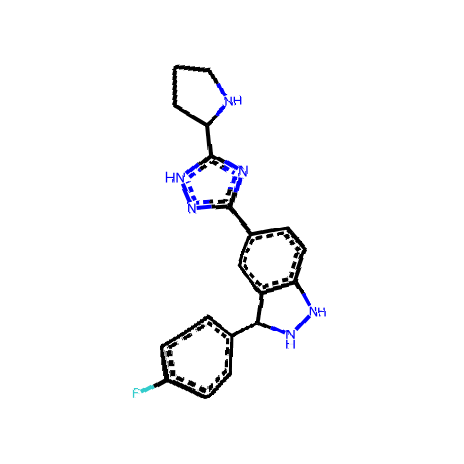 Fc1ccc(C2NNc3ccc(-c4n[nH]c(C5CCCN5)n4)cc32)cc1